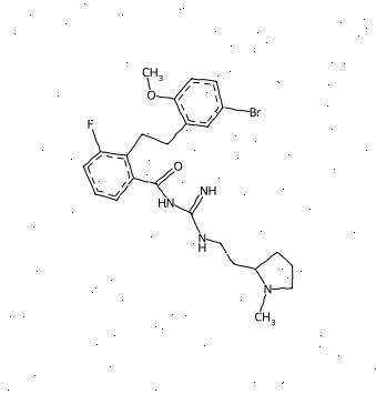 COc1ccc(Br)cc1CCc1c(F)cccc1C(=O)NC(=N)NCCC1CCCN1C